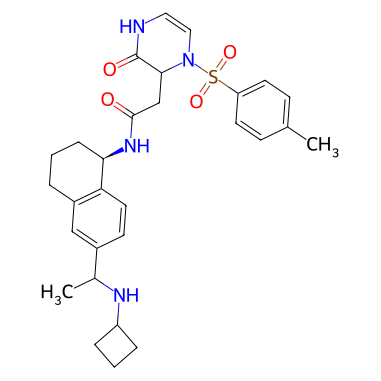 Cc1ccc(S(=O)(=O)N2C=CNC(=O)C2CC(=O)N[C@@H]2CCCc3cc(C(C)NC4CCC4)ccc32)cc1